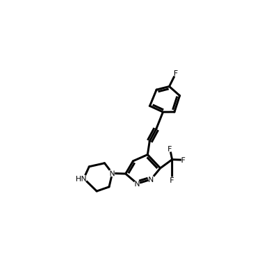 Fc1ccc(C#Cc2cc(N3CCNCC3)nnc2C(F)(F)F)cc1